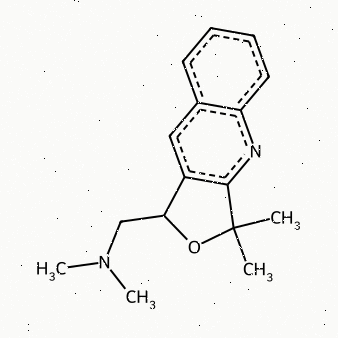 CN(C)CC1OC(C)(C)c2nc3ccccc3cc21